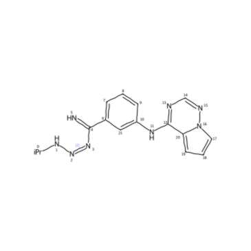 CC(C)N/N=N\C(=N)c1cccc(Nc2ncnn3cccc23)c1